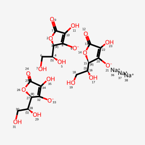 O=C1O[C@H]([C@@H](O)CO)C([O-])=C1O.O=C1O[C@H]([C@@H](O)CO)C([O-])=C1O.O=C1O[C@H]([C@@H](O)CO)C([O-])=C1O.[Na+].[Na+].[Na+]